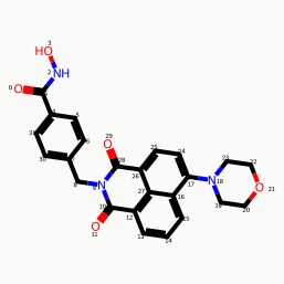 O=C(NO)c1ccc(CN2C(=O)c3cccc4c(N5CCOCC5)ccc(c34)C2=O)cc1